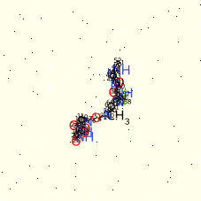 CN(CCCOCCNc1cccc2c1C(=O)N(C1CCC(=O)NC1=O)C2=O)C[C@H]1CC[C@H](n2cc(NC(=O)c3coc(-c4ccnc(NCC5CC5)c4)n3)c(C(F)F)n2)CC1